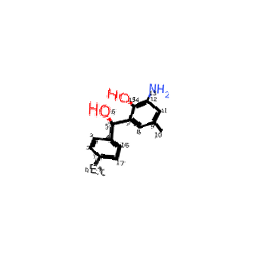 CCc1ccc(C(O)c2cc(C)cc(N)c2O)cc1